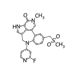 Cn1cc2c3c(c[nH]c3c1=O)CN(c1ccnc(F)c1)c1ccc(CS(C)(=O)=O)cc1-2